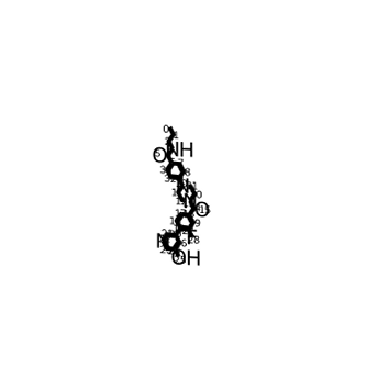 CCCNC(=O)c1ccc(N2CCN(C(=O)c3ccc(-c4cncc(O)c4)c(F)c3)CC2)cc1